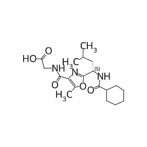 Cc1oc([C@H](CC(C)C)NC(=O)C2CCCCC2)nc1C(=O)NCC(=O)O